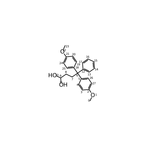 COc1ccc(C(CCC(O)O)(c2ccccc2)c2ccc(OC)cc2)cc1